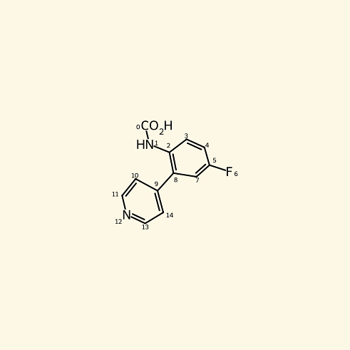 O=C(O)Nc1ccc(F)cc1-c1ccncc1